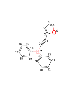 C(#Cc1ccco1)B(c1ccccc1)c1ccccc1